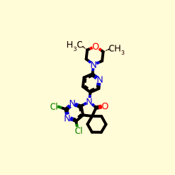 C[C@@H]1CN(c2ccc(N3C(=O)C4(CCCCC4)c4c(Cl)nc(Cl)nc43)cn2)C[C@H](C)O1